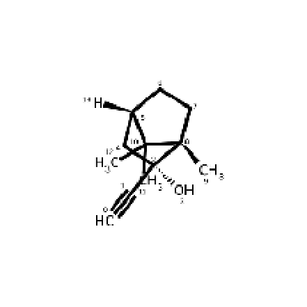 C#C[C@@]1(O)C[C@@H]2CC[C@@]1(C)C2(C)C